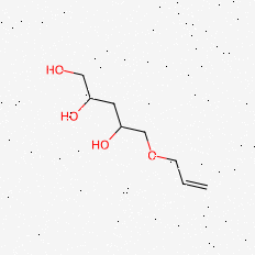 C=CCOCC(O)CC(O)CO